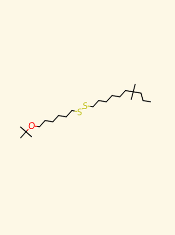 CCCC(C)(C)CCCCCCSSCCCCCCOC(C)(C)C